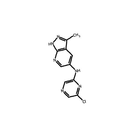 Cc1n[nH]c2ncc(Nc3cncc(Cl)n3)cc12